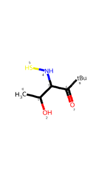 CC(O)C(NS)C(=O)C(C)(C)C